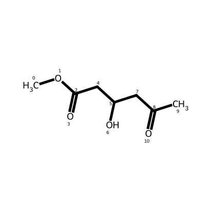 COC(=O)CC(O)CC(C)=O